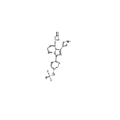 FC(F)(F)Oc1ccc(-n2nc(C3CNC3)c3c(C4CNC4)ccnc32)cc1